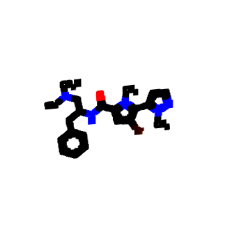 Cn1nccc1-c1c(Br)cc(C(=O)NC(Cc2ccccc2)CN(C(=O)O)C(C)(C)C)n1C